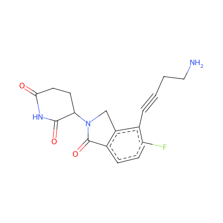 NCCC#Cc1c(F)ccc2c1CN(C1CCC(=O)NC1=O)C2=O